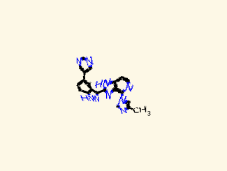 Cc1cn(-c2nccc3[nH]c(-c4n[nH]c5ccc(-c6cncnc6)cc45)nc23)cn1